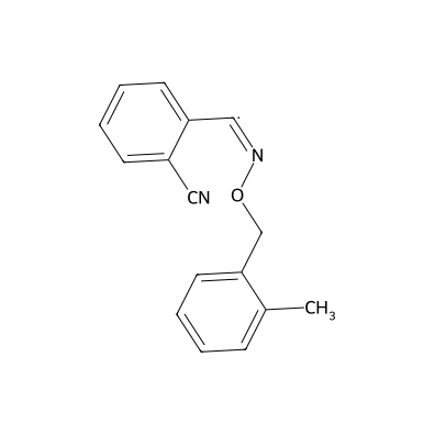 Cc1ccccc1CO/N=[C]\c1ccccc1C#N